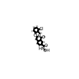 O=C(NO)c1ccc2ccn(Cc3c(Cl)cccc3Cl)c(=O)c2c1